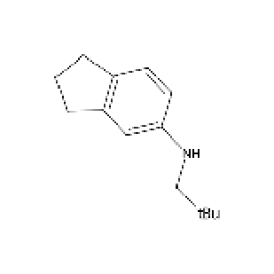 CC(C)(C)CNc1ccc2c(c1)CCC2